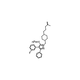 C=C(C)CCCC1CCC(Cn2nc(-c3ccccc3)c(-c3cccc(F)c3)c2CCCCC)CC1